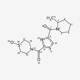 CC1CCCCN1C(=O)c1csc(C(=O)N2CC[S+]([O-])CC2)n1